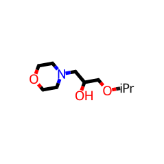 CC(C)OCC(O)CN1CCOCC1